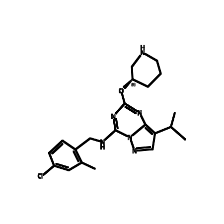 Cc1cc(Cl)ccc1CNc1nc(O[C@@H]2CCCNC2)nc2c(C(C)C)cnn12